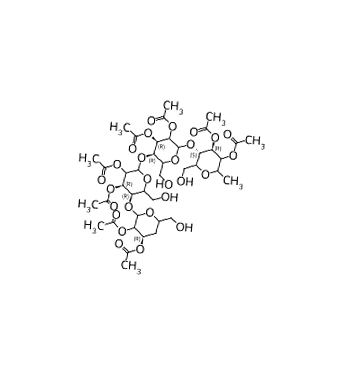 CC(=O)OC1C(O[C@@H]2C(CO)OC(O[C@@H]3C(CO)OC(O[C@H]4C(CO)OC(C)C(OC(C)=O)[C@@H]4OC(C)=O)C(OC(C)=O)[C@@H]3OC(C)=O)C(OC(C)=O)[C@@H]2OC(C)=O)OC(CO)C[C@H]1OC(C)=O